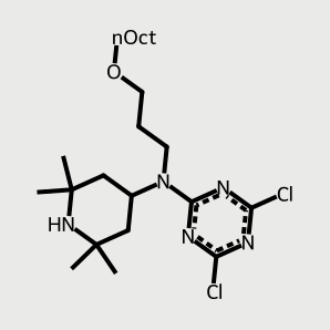 CCCCCCCCOCCCN(c1nc(Cl)nc(Cl)n1)C1CC(C)(C)NC(C)(C)C1